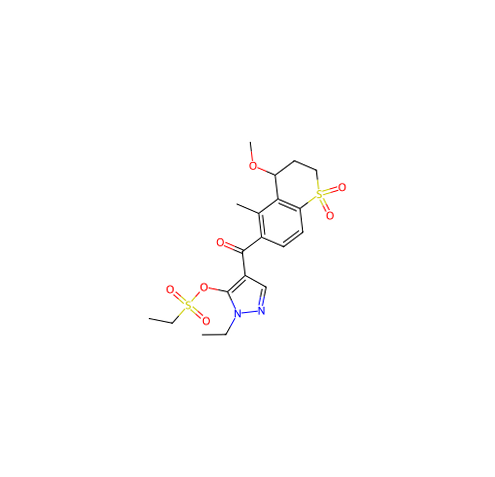 CCn1ncc(C(=O)c2ccc3c(c2C)C(OC)CCS3(=O)=O)c1OS(=O)(=O)CC